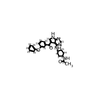 CC(=O)NC1CCC(Nc2ncnc3[nH]cc(C(=O)c4cccc(Oc5ccccc5)c4)c23)CC1